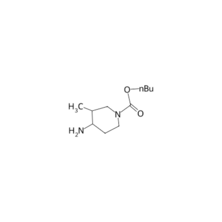 CCCCOC(=O)N1CCC(N)C(C)C1